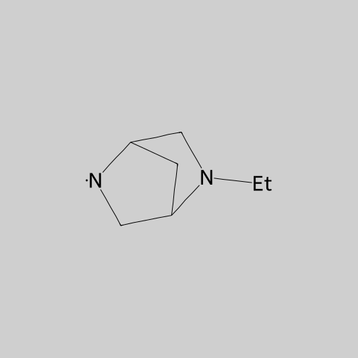 CCN1CC2CC1C[N]2